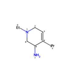 CCN1CC=C(C(C)C)C(N)C1